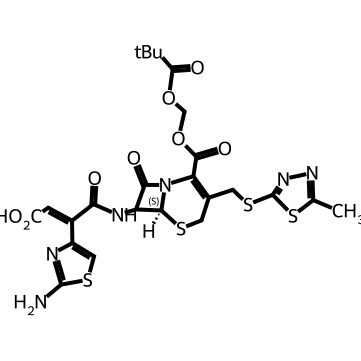 Cc1nnc(SCC2=C(C(=O)OCOC(=O)C(C)(C)C)N3C(=O)C(NC(=O)C(=CC(=O)O)c4csc(N)n4)[C@@H]3SC2)s1